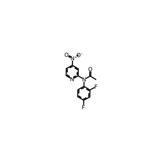 CC(=O)N(c1cc([N+](=O)[O-])ccn1)c1ccc(F)cc1F